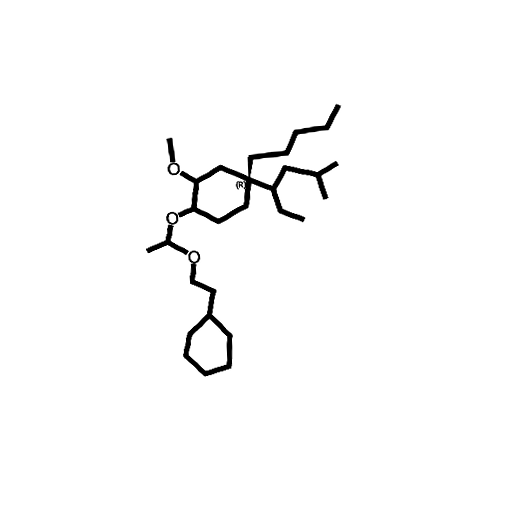 CCCCC[C@@]1(C(CC)CC(C)C)CCC(OC(C)OCCC2CCCCC2)C(OC)C1